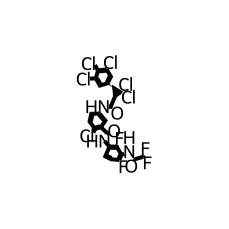 O=C(Nc1ccc(F)c(NC(=O)C(F)F)c1F)c1cc(NC(=O)C2[C@H](c3cc(Cl)c(Cl)c(Cl)c3)C2(Cl)Cl)ccc1Cl